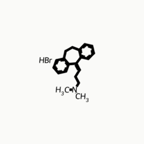 Br.CN(C)CCC=C1c2ccccc2CCc2ccccc21